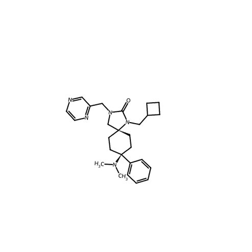 CN(C)[C@]1(c2ccccc2)CC[C@@]2(CC1)CN(Cc1cnccn1)C(=O)N2CC1CCC1